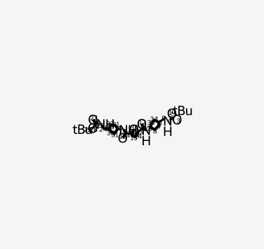 CC(C)(C)OC(=O)NCc1ccc(NC(=O)c2ccc(C(=O)Nc3ccc(CNC(=O)OC(C)(C)C)cc3)o2)cc1